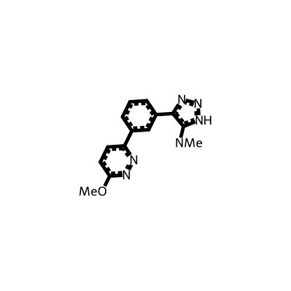 CNc1[nH]nnc1-c1cccc(-c2ccc(OC)nn2)c1